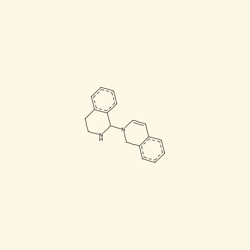 [CH]1c2ccccc2C=CN1C1NCCc2ccccc21